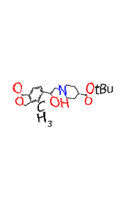 Cc1c(C(O)CN2CCC(C(=O)OC(C)(C)C)CC2)ccc2c1COC2=O